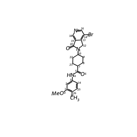 COc1cc(NC(=O)C2CCC(N3Cc4c(Br)cncc4C3=O)CC2)ccc1C